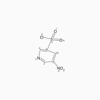 O=[N+]([O-])c1cncc(S(=O)(=O)Cl)c1